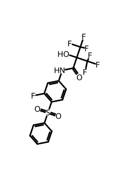 O=C(Nc1ccc(S(=O)(=O)c2ccccc2)c(F)c1)C(O)(C(F)(F)F)C(F)(F)F